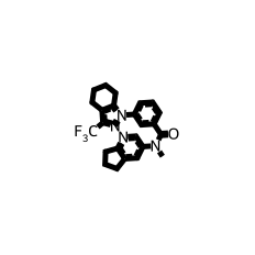 CN(C(=O)c1cccc(-n2nc(C(F)(F)F)c3c2CCCC3)c1)c1cnc2c(c1)CCC2